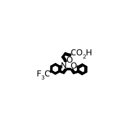 O=C(O)c1ccc(-n2c(-c3cc4ccccc4o3)cc3c2CCC(C(F)(F)F)C3)o1